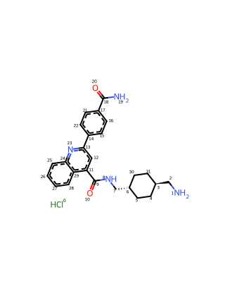 Cl.NC[C@H]1CC[C@H](CNC(=O)c2cc(-c3ccc(C(N)=O)cc3)nc3ccccc23)CC1